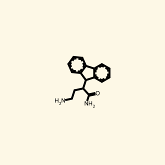 NCCC(C(N)=O)C1c2ccccc2-c2ccccc21